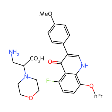 CCCOc1ccc(F)c2c(=O)c(-c3ccc(OC)cc3)c[nH]c12.NCC(C(=O)O)N1CCOCC1